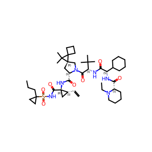 C=C[C@@H]1C[C@]1(NC(=O)[C@@H]1C[C@@]2(CN1C(=O)[C@@H](NC(=O)[C@@H](NC(=O)[C@@H]1CCCCN1CC)C1CCCCC1)C(C)(C)C)C(C)(C)C21CCC1)C(=O)NS(=O)(=O)C1(CCC)CC1